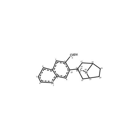 COc1cc2cccnc2cc1C1CC2CCC(C1)N2C